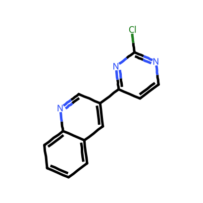 Clc1nccc(-c2cnc3ccccc3c2)n1